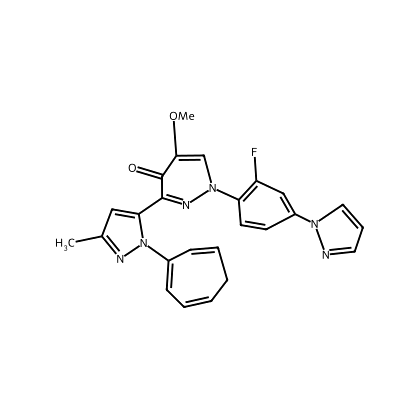 COc1cn(-c2ccc(-n3cccn3)cc2F)nc(-c2cc(C)nn2C2=CC=CCC=C2)c1=O